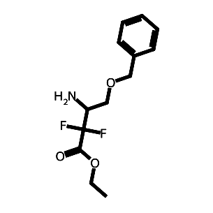 CCOC(=O)C(F)(F)C(N)COCc1ccccc1